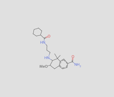 COC1Cc2ccc(C(N)=O)cc2C(C)(C)C1NCCCNC(=O)C1CCCCC1